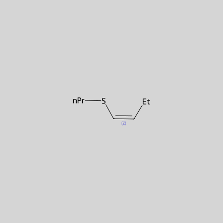 CC/C=C\SCCC